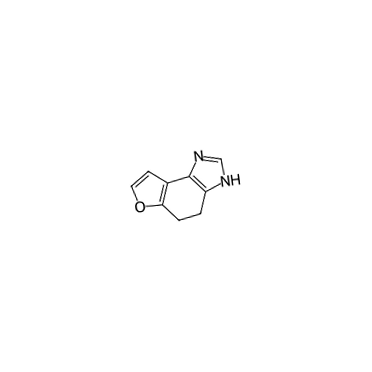 c1nc2c([nH]1)CCc1occc1-2